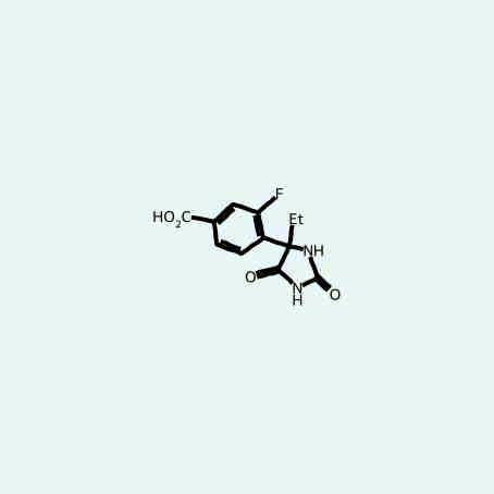 CCC1(c2ccc(C(=O)O)cc2F)NC(=O)NC1=O